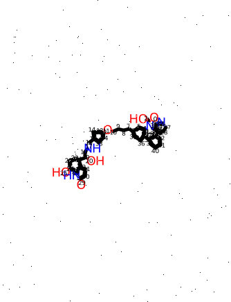 O=C(O)N(c1cc(CCCCOc2ccc(CNC[C@H](O)c3ccc(O)c4[nH]c(=O)ccc34)cc2)ccc1-c1ccccc1)[C@H]1CN2CCC1CC2